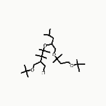 CC(C)CC(COC(C)(C)CCOC(C)(C)C)OC(C)(C)C(C)(C)C(CCl)COC(C)(C)C